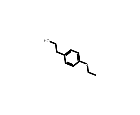 CCSc1ccc(CCO)cc1